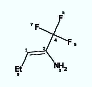 CCC=C(N)C(F)(F)F